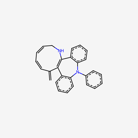 C=C1/C=C\C=C/CNC2=C1c1ccccc1N(c1ccccc1)c1ccccc12